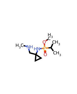 CNCC1(NP(=O)(OC)C(C)C)CC1